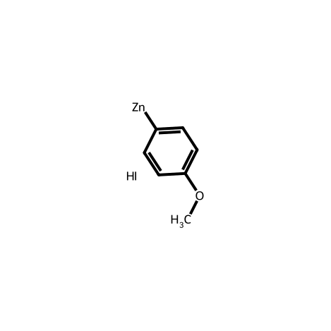 COc1cc[c]([Zn])cc1.I